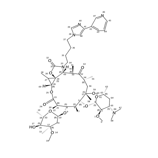 CO[C@H]1[C@H](O[C@@H]2[C@@H](C)[C@H](O[C@H]3C[C@@](C)(OC)[C@@H](O)[C@H](C)O3)[C@@H](C)C(=O)O[C@@H]3C(C)[C@@]34OC(=O)N(CCCCn3cnc(-c5cccnc5)c3)[C@@H]4[C@@H](C)C(=O)[C@H](C)C[C@]2(C)OC)O[C@H](C)C[C@@H]1N(C)C